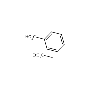 CCOC(C)=O.O=C(O)c1ccccc1